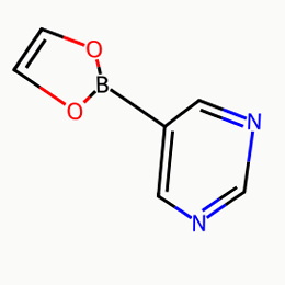 C1=COB(c2cncnc2)O1